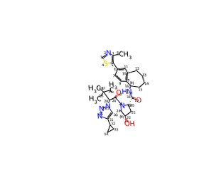 Cc1ncsc1-c1ccc2c(c1)CCCC[C@H]2NC(=O)[C@@H]1C[C@@H](O)CN1C(=O)C(n1cc(C2CC2)nn1)C(C)(C)C